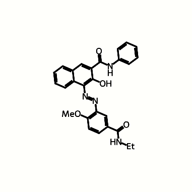 CCNC(=O)c1ccc(OC)c(/N=N/c2c(O)c(C(=O)Nc3ccccc3)cc3ccccc23)c1